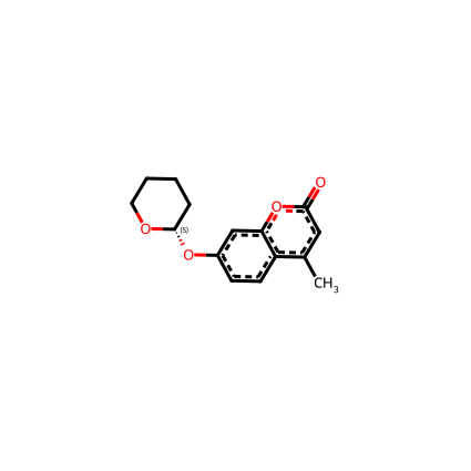 Cc1cc(=O)oc2cc(O[C@H]3CCCCO3)ccc12